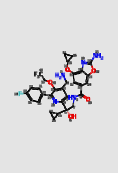 NCc1cc([C@@](O)(CNC(=O)c2cc(OC3CC3)c3nc(N)oc3c2)C2CC2)nc(-c2ccc(F)cc2)c1OCC(F)(F)F